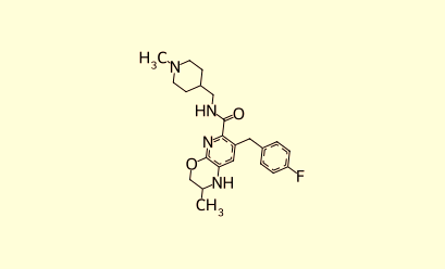 CC1COc2nc(C(=O)NCC3CCN(C)CC3)c(Cc3ccc(F)cc3)cc2N1